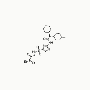 CCN(CC)C(=O)CNS(=O)(=O)c1cnc(NC(=O)N(C2CCCCC2)C2CCC(C)CC2)s1